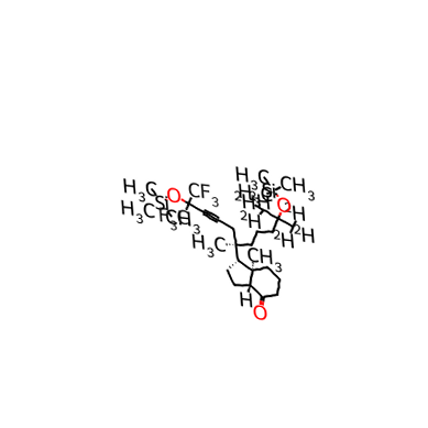 [2H]C([2H])([2H])C(CCC[C@](C)(CC#CC(O[Si](C)(C)C)(C(F)(F)F)C(F)(F)F)[C@H]1CC[C@H]2C(=O)CCC[C@]12C)(O[Si](C)(C)C)C([2H])([2H])[2H]